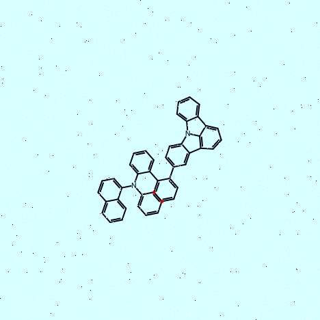 c1ccc(N(c2ccccc2-c2ccccc2-c2ccc3c(c2)c2cccc4c5ccccc5n3c42)c2cccc3ccccc23)cc1